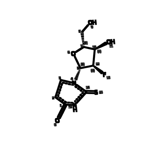 O=c1ccn([C@@H]2O[C@H](CO)[C@@H](O)[C@H]2F)c(=S)[nH]1